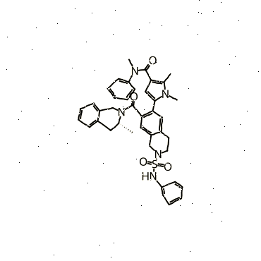 Cc1c(C(=O)N(C)c2ccccc2)cc(-c2cc3c(cc2C(=O)N2Cc4ccccc4C[C@H]2C)CN(S(=O)(=O)Nc2ccccc2)CC3)n1C